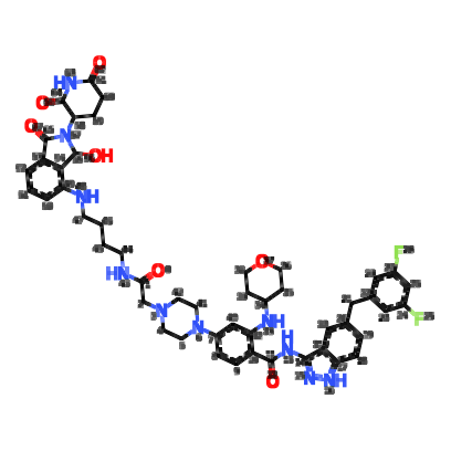 O=C(CN1CCN(c2ccc(C(=O)Nc3n[nH]c4ccc(Cc5cc(F)cc(F)c5)cc34)c(NC3CCOCC3)c2)CC1)NCCCCNc1cccc2c1C(O)N(C1CCC(=O)NC1=O)C2=O